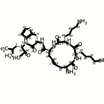 CC(C)C[C@H](NC(=O)[C@H](Cc1cccs1)NC(=O)[C@@H]1C/C=C/C[C@H](N)C(=O)N[C@@H](CCCCN)C(=O)N[C@@H](CCCCN)C(=O)N1)C(=O)O